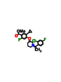 COC(=O)c1cc(C2CC2)c(O[C@@H]2CCCN([C@H](C)c3ccc(F)cc3Cl)C2)cc1F